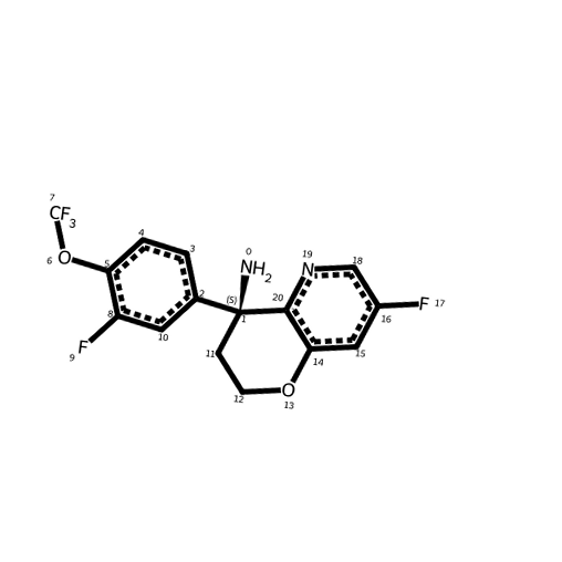 N[C@]1(c2ccc(OC(F)(F)F)c(F)c2)CCOc2cc(F)cnc21